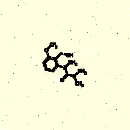 CN(N)C(=O)N(N)c1cccc(OC(F)(F)F)c1CO